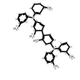 CC1=C(C2C=CC(N(C3=CC(C)CCC3)c3cccc(C)c3)=CC2C)C=CC(N(C2=CC(C)CC=C2)c2cccc(C)c2)C1